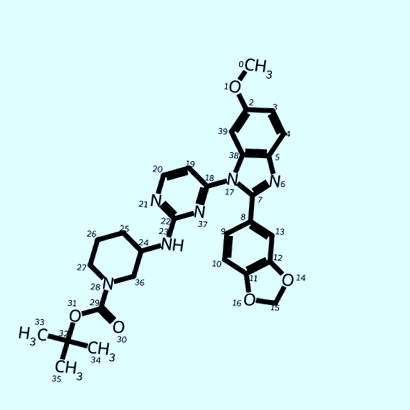 COc1ccc2nc(-c3ccc4c(c3)OCO4)n(-c3ccnc(NC4CCCN(C(=O)OC(C)(C)C)C4)n3)c2c1